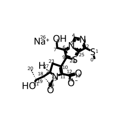 CSc1ncn2c(CO)c(C3=C(C(=O)[O-])N4C(=O)[C@H]([C@@H](C)O)[C@H]4C3)sc12.[Na+]